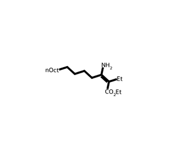 CCCCCCCCCCCCC(N)=C(CC)C(=O)OCC